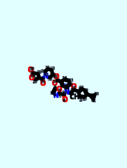 CC(NC(=O)c1ncco1)C(Oc1ccc(C(=O)O[C@H]2CCCN(C(=O)[C@H]3COC(=O)C3)C2)cc1)c1ccc(C2CC2)cc1